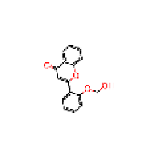 O=c1cc(-c2ccccc2OCO)oc2ccccc12